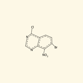 O=[N+]([O-])c1c(Br)ccc2c(Cl)ncnc12